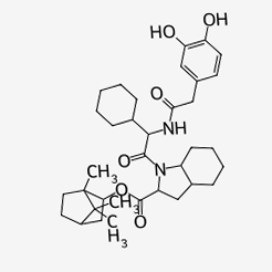 CC1(C)C2CCC1(C)C(OC(=O)C1CC3CCCCC3N1C(=O)C(NC(=O)Cc1ccc(O)c(O)c1)C1CCCCC1)C2